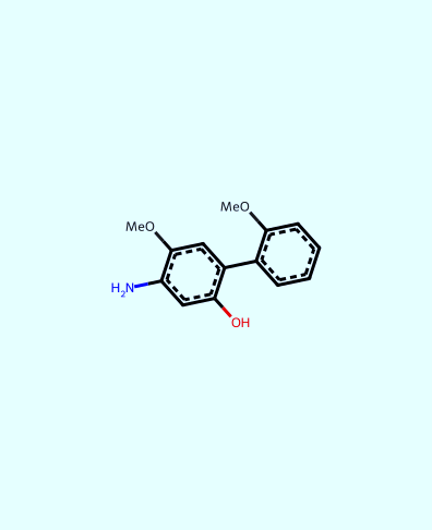 COc1cc(-c2ccccc2OC)c(O)cc1N